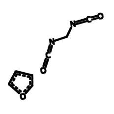 O=C=NCN=C=O.c1ccoc1